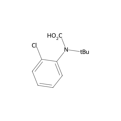 CC(C)(C)N(C(=O)O)c1ccccc1Cl